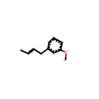 C/C=C/[CH]c1cccc(OC)c1